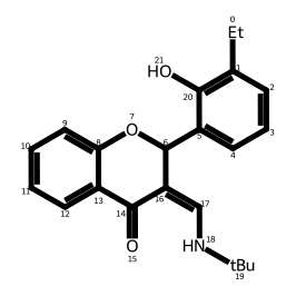 CCc1cccc(C2Oc3ccccc3C(=O)/C2=C\NC(C)(C)C)c1O